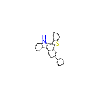 c1ccc(-c2ccc3c(c2)c2sc4ccccc4c2c2[nH]c4ccccc4c32)cc1